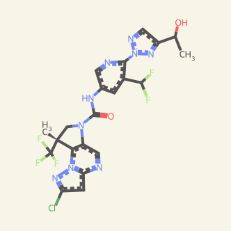 CC(O)c1cnn(-c2ncc(NC(=O)N3C[C@@](C)(C(F)(F)F)c4c3cnc3cc(Cl)nn43)cc2C(F)F)n1